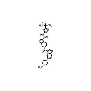 CN1CCN(c2ccc3ncc(C(=O)N4CCc5c(C(=O)Nc6cc(C(C)(C)C)no6)csc5C4)n3c2)CC1